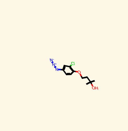 CC(C)(O)CCOc1ccc(N=[N+]=[N-])cc1Cl